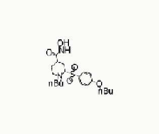 CCCCOc1ccc(S(=O)(=O)C2CC(C(=O)NO)CCN2CCCC)cc1